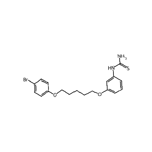 NC(=S)Nc1cccc(OCCCCCOc2ccc(Br)cc2)c1